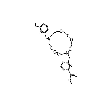 CCc1cccc(CN2CCOCCOCCN(Cc3cccc(C(=O)OC)n3)CCOCC2)n1